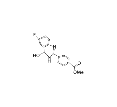 COC(=O)c1ccc(C2=Nc3ccc(F)cc3C(O)N2)cc1